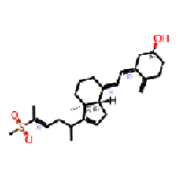 C=C1CC[C@H](O)C/C1=C/C=C1\CCC[C@]2(C)C(C(C)C/C=C(\C)S(C)(=O)=O)=CC[C@@H]12